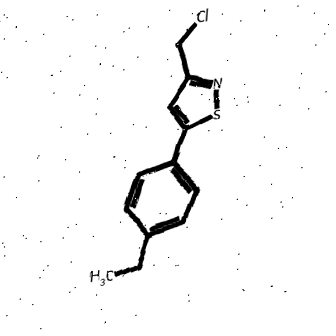 CCc1ccc(-c2cc(CCl)ns2)cc1